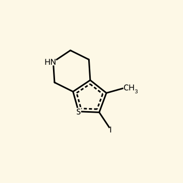 Cc1c(I)sc2c1CCNC2